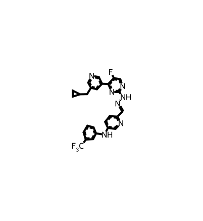 Fc1cnc(N/N=C/c2ccc(Nc3cccc(C(F)(F)F)c3)cn2)nc1-c1cncc(CC2CC2)c1